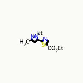 CCOC(=O)c1cnc(-c2cc(C)nn2CC)s1